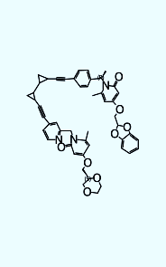 Cc1cc(OC[C@@H]2COCCO2)cc(=O)n1Cc1cc(C#CC2CC2C2CC2C#Cc2ccc([C@@H](C)n3c(C)cc(OCC4Oc5ccccc5O4)cc3=O)cc2)ccn1